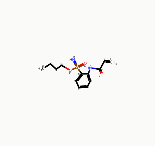 C=CC(=O)Nc1ccccc1S(=N)(=O)OCCCC